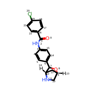 O=C(Nc1ccc(C2O[C@@H]3CN[C@H]2C3)cc1)c1ccc(Cl)cc1